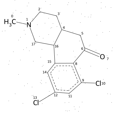 CN1CCC2CC(=O)c3c(Cl)cc(Cl)cc3C2C1